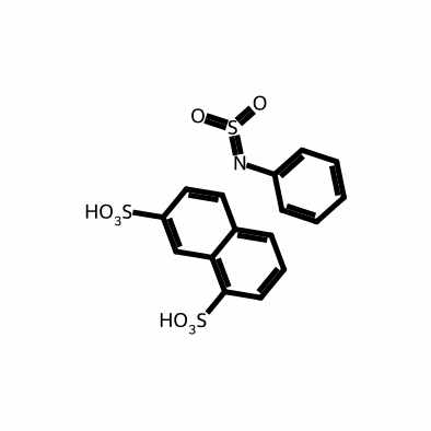 O=S(=O)(O)c1ccc2cccc(S(=O)(=O)O)c2c1.O=S(=O)=Nc1ccccc1